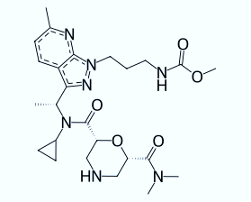 COC(=O)NCCCn1nc([C@@H](C)N(C(=O)[C@H]2CNC[C@@H](C(=O)N(C)C)O2)C2CC2)c2ccc(C)nc21